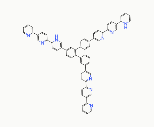 C1=CNC(c2ccc(-c3ccc(-c4ccc5c6cc(C7=CNC(c8ccc(-c9ccccn9)cn8)C=C7)ccc6c6cc(-c7ccc(-c8ccc(-c9ccccn9)cn8)nc7)ccc6c5c4)cn3)nc2)C=C1